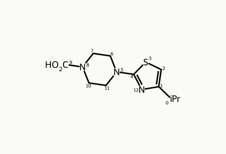 CC(C)c1csc(N2CCN(C(=O)O)CC2)n1